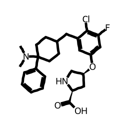 CN(C)C1(c2ccccc2)CCC(Cc2cc(O[C@@H]3CN[C@H](C(=O)O)C3)cc(F)c2Cl)CC1